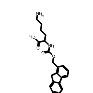 NCCCCC(NC(=O)OCc1cccc2c1Cc1ccccc1-2)C(=O)O